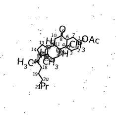 CC(=O)O[C@H]1CC[C@@]2(C)C(C1)C(=O)C[C@H]1[C@@H]3CC[C@H]([C@H](C)CCCC(C)C)[C@@]3(C)CC[C@@H]12